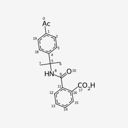 CC(=O)c1ccc(C(C)(C)NC(=O)c2ccccc2C(=O)O)cc1